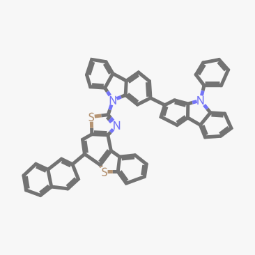 c1ccc(-n2c3ccccc3c3ccc(-c4ccc5c6ccccc6n(-c6nc7c(cc(-c8ccc9ccccc9c8)c8sc9ccccc9c87)s6)c5c4)cc32)cc1